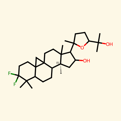 CC(C)(O)C1CCC(C)(C2C(O)C[C@@]3(C)C4CCC5C(C)(C)C(F)(F)CCC56CC46CCC23C)O1